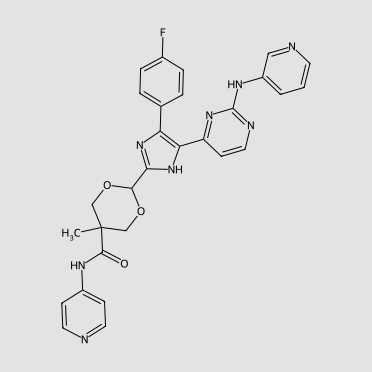 CC1(C(=O)Nc2ccncc2)COC(c2nc(-c3ccc(F)cc3)c(-c3ccnc(Nc4cccnc4)n3)[nH]2)OC1